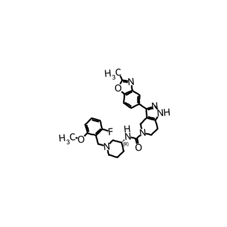 COc1cccc(F)c1CN1CCC[C@@H](NC(=O)N2CCc3[nH]nc(-c4ccc5oc(C)nc5c4)c3C2)C1